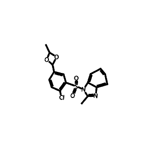 Cc1nc2ccccc2n1S(=O)(=O)c1cc(C2OC(C)O2)ccc1Cl